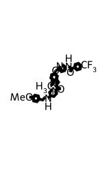 COc1ccc(CCNC2CCN(C(=O)c3cc4cc(Oc5ccc(NC(=O)c6ccc(C(F)(F)F)cc6)cn5)ccc4n3C)CC2)cc1